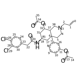 C=CCN1CCC2(c3cccc(OC(C)=O)c3)C[C@@H](NC(=O)Cc3ccc(Cl)c(Cl)c3)CC(OC(C)=O)C2C1